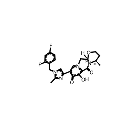 Cc1nc(-c2cn3c(c(O)c2=O)C(=O)N2[C@H](C)CCO[C@H]2C3)cn1Cc1ccc(F)cc1F